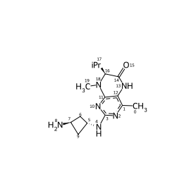 Cc1nc(N[C@H]2C[C@H](N)C2)nc2c1NC(=O)[C@H](C(C)C)N2C